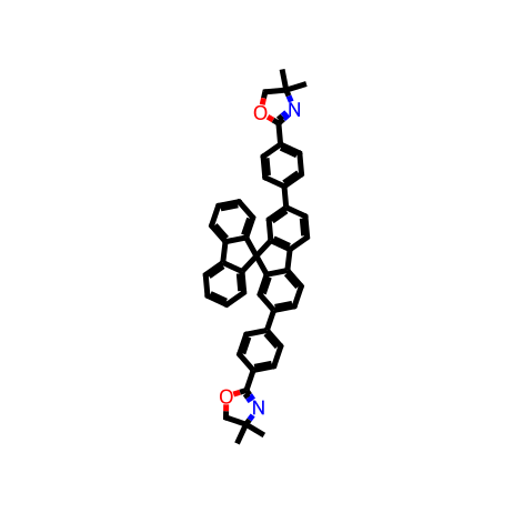 CC1(C)COC(c2ccc(-c3ccc4c(c3)C3(c5ccccc5-c5ccccc53)c3cc(-c5ccc(C6=NC(C)(C)CO6)cc5)ccc3-4)cc2)=N1